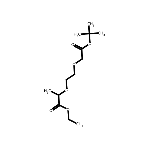 CCOC(=O)C(C)OCCOCC(=O)OC(C)(C)C